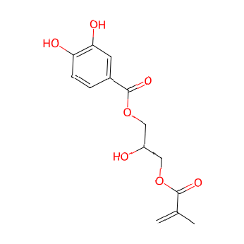 C=C(C)C(=O)OCC(O)COC(=O)c1ccc(O)c(O)c1